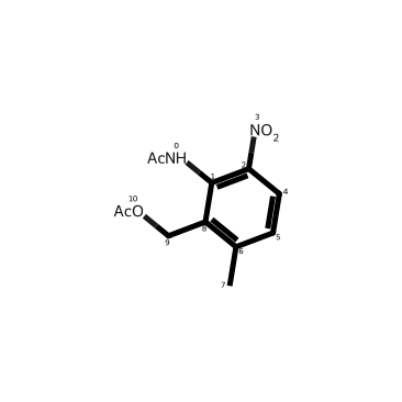 CC(=O)Nc1c([N+](=O)[O-])ccc(C)c1COC(C)=O